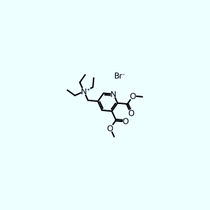 CC[N+](CC)(CC)Cc1cnc(C(=O)OC)c(C(=O)OC)c1.[Br-]